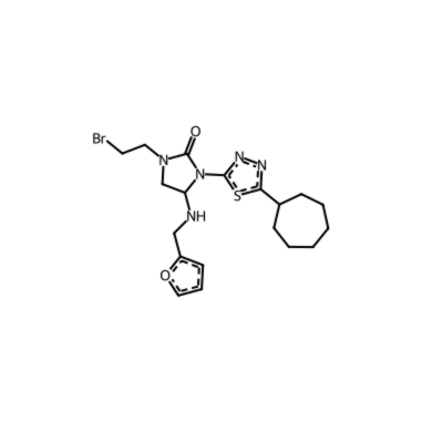 O=C1N(CCBr)CC(NCc2ccco2)N1c1nnc(C2CCCCCC2)s1